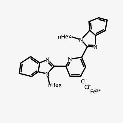 CCCCCCn1c(-c2cccc(-c3nc4ccccc4n3CCCCCC)n2)nc2ccccc21.[Cl-].[Cl-].[Fe+2]